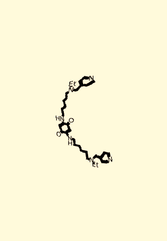 CCN(CCCCCCNC1=CC(=O)C(NCCCCCCN(CC)Cc2ccncc2)=CC1=O)Cc1ccncc1